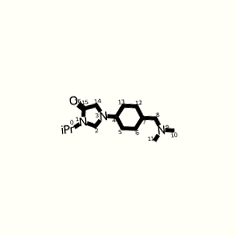 CC(C)N1CN(C2CCC(CN(C)C)CC2)CC1=O